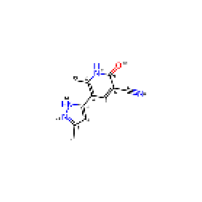 Cc1cc(-c2cc(C#N)c(=O)[nH]c2C)[nH]n1